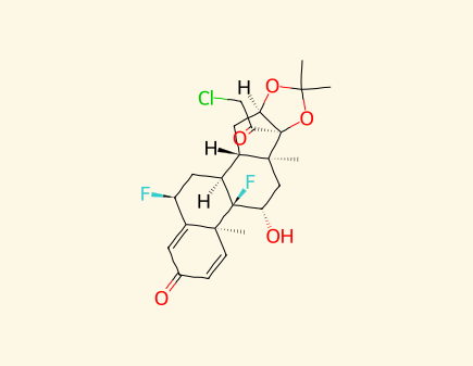 CC1(C)O[C@@H]2C[C@H]3[C@@H]4C[C@H](F)C5=CC(=O)C=C[C@]5(C)[C@@]4(F)[C@@H](O)C[C@]3(C)[C@]2(C(=O)CCl)O1